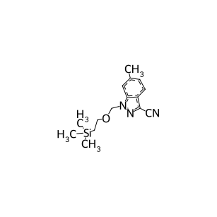 Cc1ccc2c(C#N)nn(COCC[Si](C)(C)C)c2c1